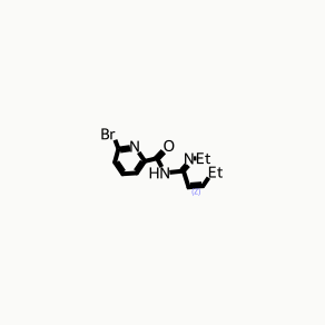 CC/C=C\C(=NCC)NC(=O)c1cccc(Br)n1